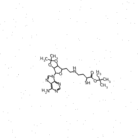 CC(C)(C)OC(=O)C(S)CCNCCC1OC(n2cnc3c(N)ncnc32)C2OC(C)(C)OC12